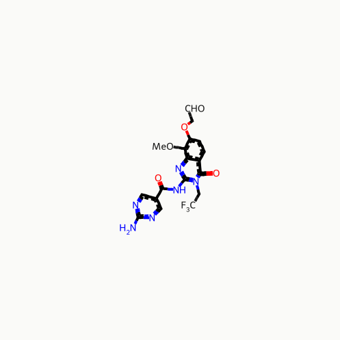 COc1c(OCC=O)ccc2c(=O)n(CC(F)(F)F)c(NC(=O)c3cnc(N)nc3)nc12